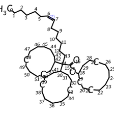 CCCCCC/C=C\CCCCCCC(C(=O)OC1CCCCCCCCCCC1)(C1CCCCCCCCCCC1)C1CCCCCCCCCCC1